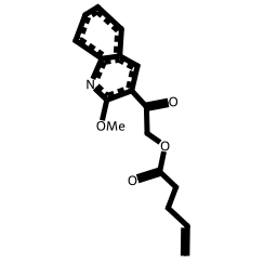 C=CCCC(=O)OCC(=O)c1cc2ccccc2nc1OC